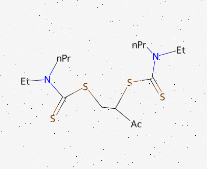 CCCN(CC)C(=S)SCC(SC(=S)N(CC)CCC)C(C)=O